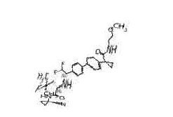 COCCNC(=O)C1(c2ccc(-c3ccc([C@H](N[C@@H](CC(C)(C)F)C(=O)NC4(C#N)CC4)C(F)F)cc3)cc2)CC1